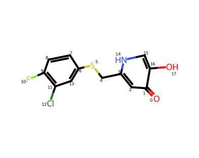 O=c1cc(CSc2ccc(F)c(Cl)c2)[nH]cc1O